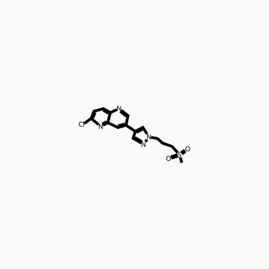 CS(=O)(=O)CCCn1cc(-c2cnc3ccc(Cl)nc3c2)cn1